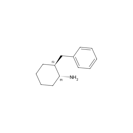 N[C@@H]1CCCC[C@H]1Cc1ccccc1